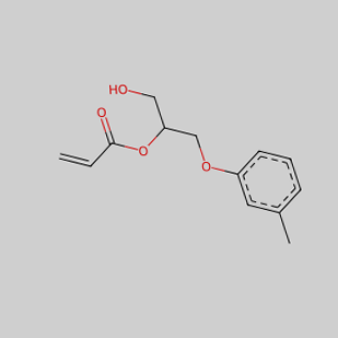 C=CC(=O)OC(CO)COc1cccc(C)c1